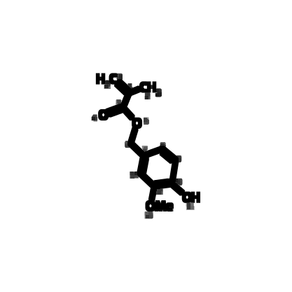 C=C(C)C(=O)OCc1ccc(O)c(OC)c1